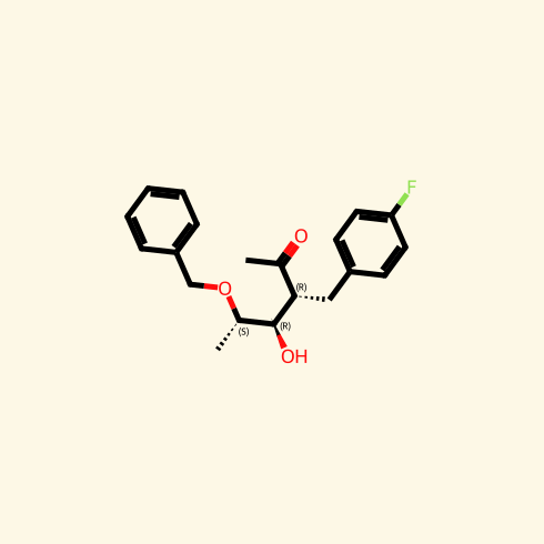 CC(=O)[C@H](Cc1ccc(F)cc1)[C@@H](O)[C@H](C)OCc1ccccc1